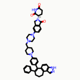 O=C1CC[C@H](N2Cc3cc(N4CCN(CC5CCN(c6ccc(C7=C(c8ccccc8)CCCc8c7ccc7[nH]ncc87)cc6)CC5)CC4)ccc3C2=O)C(=O)N1